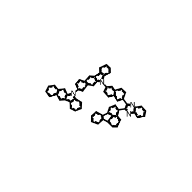 c1ccc2c(c1)-c1cccc3c(-c4nc5ccccc5nc4-c4ccc5cc(-n6c7ccccc7c7cc8ccc(-n9c%10ccccc%10c%10cc%11ccccc%11cc%109)cc8cc76)ccc5c4)ccc-2c13